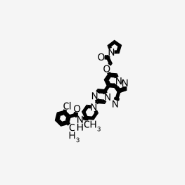 Cc1cccc(Cl)c1C(=O)NC1(C)CCN(c2cnc(-c3cc(OCC(=O)N4CCCC4)cn4ncc(C#N)c34)cn2)CC1